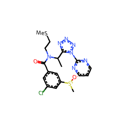 CSCCN(C(=O)c1cc(Cl)cc([S+](C)[O-])c1)C(C)c1nnnn1-c1ncccn1